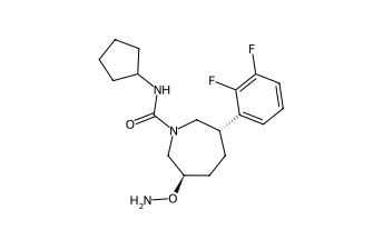 NO[C@@H]1CC[C@@H](c2cccc(F)c2F)CN(C(=O)NC2CCCC2)C1